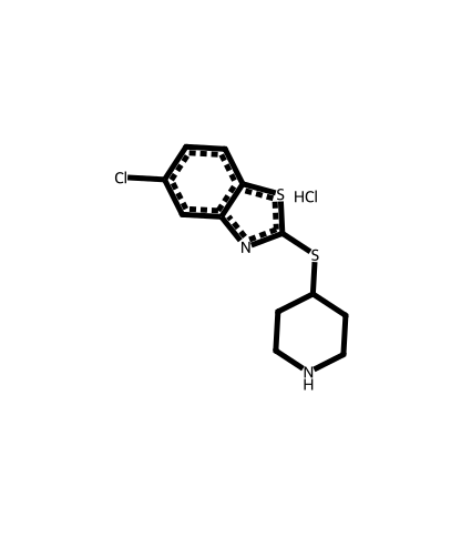 Cl.Clc1ccc2sc(SC3CCNCC3)nc2c1